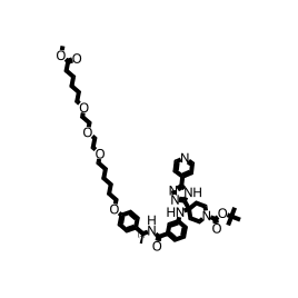 COC(=O)CCCCCOCCOCCOCCCCCCOc1ccc([C@H](C)NC(=O)c2cccc(NC3(c4nnc(-c5ccncc5)[nH]4)CCN(C(=O)OC(C)(C)C)CC3)c2)cc1